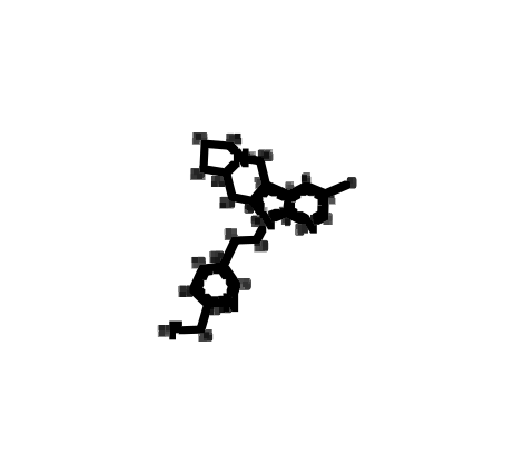 Cc1cnc2c(c1)c1c(n2CCc2ccc(CF)nc2)CC2CCCN2C1